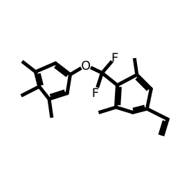 C=Cc1cc(C)c(C(F)(F)Oc2cc(C)c(C)c(C)c2)c(C)c1